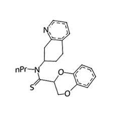 CCCN(C(=S)C1COc2ccccc2O1)C1CCc2cccnc2C1